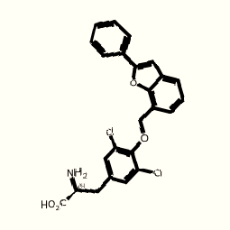 N[C@@H](Cc1cc(Cl)c(OCc2cccc3cc(-c4ccccc4)oc23)c(Cl)c1)C(=O)O